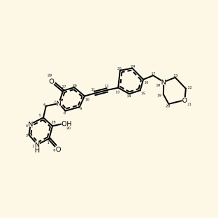 O=c1[nH]cnc(Cn2ccc(C#Cc3ccc(CN4CCOCC4)cc3)cc2=O)c1O